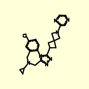 Clc1ccc2c(c1)CN(C1CC1)Cc1nnc(C3CC4(C3)CN(c3cnccn3)C4)n1-2